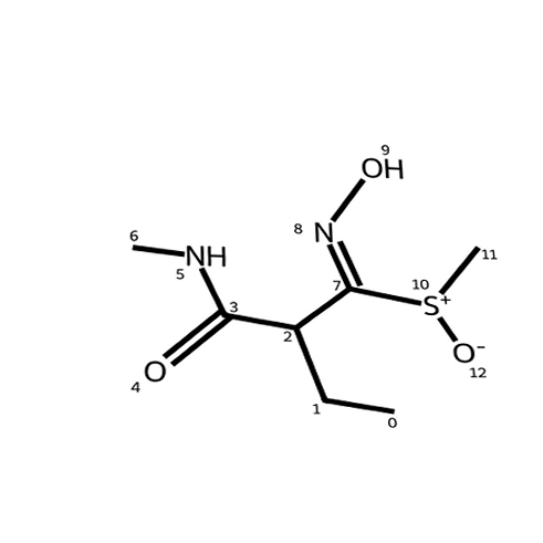 CCC(C(=O)NC)C(=NO)[S+](C)[O-]